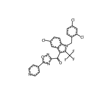 O=C(c1noc(-c2ccncc2)n1)c1c(C(F)(F)F)n(Cc2ccc(Cl)cc2Cl)c2ccc(Cl)cc12